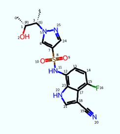 C[C@@H](O)[C@H](C)n1cc(S(=O)(=O)Nc2ccc(F)c3c(C#N)c[nH]c23)cn1